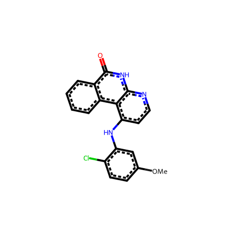 COc1ccc(Cl)c(Nc2ccnc3[nH]c(=O)c4ccccc4c23)c1